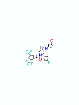 CC(C)(C(=O)N1CC[C@@H]2CN(C3=CC(=O)CC3)CC2[C@@H]1c1ccc(F)cc1)c1cc(C(F)(F)F)cc(C(F)(F)F)c1